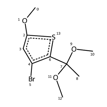 COc1cc(Br)c(C(C)(OC)OC)s1